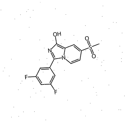 CS(=O)(=O)c1ccn2c(-c3cc(F)cc(F)c3)nc(O)c2c1